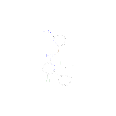 Nc1cccc(SNc2ccc(Cl)c(-c3ccccc3C(F)F)n2)n1